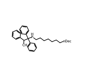 CCCCCCCCCCCCCCCCCPC(c1ccccc1)(c1ccccc1)C(C)c1ccccc1